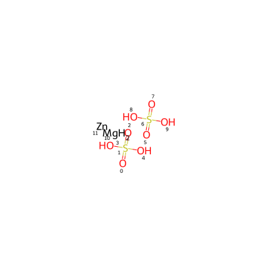 O=S(=O)(O)O.O=S(=O)(O)O.[MgH2].[Zn]